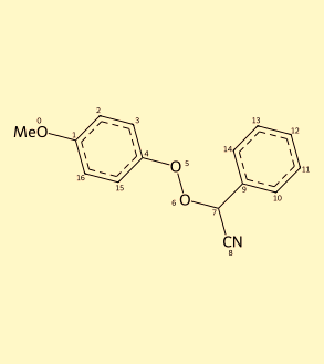 COc1ccc(OOC(C#N)c2ccccc2)cc1